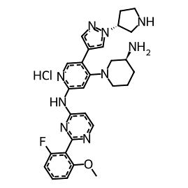 COc1cccc(F)c1-c1nccc(Nc2cc(N3CCC[C@H](N)C3)c(-c3cnn([C@@H]4CCNC4)c3)cn2)n1.Cl